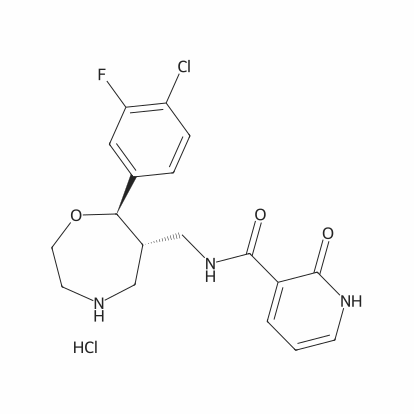 Cl.O=C(NC[C@@H]1CNCCO[C@H]1c1ccc(Cl)c(F)c1)c1ccc[nH]c1=O